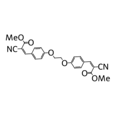 COC(=O)C(C#N)=Cc1ccc(OCCOc2ccc(C=C(C#N)C(=O)OC)cc2)cc1